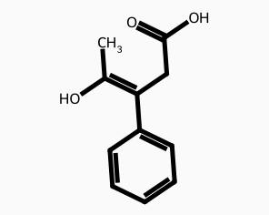 CC(O)=C(CC(=O)O)c1ccccc1